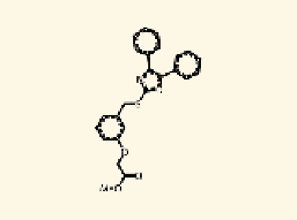 COC(=O)COc1cccc(CSc2nc(-c3ccccc3)c(-c3ccccc3)o2)c1